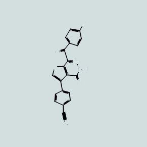 Bc1ccc(C(=O)c2n[nH]c(=O)c3c(-c4ccc(C#N)cc4)csc23)cc1